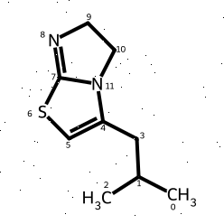 CC(C)CC1=CSC2=NCCN12